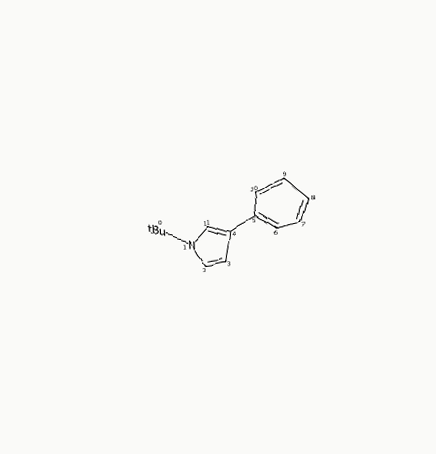 CC(C)(C)n1ccc(-c2ccccc2)c1